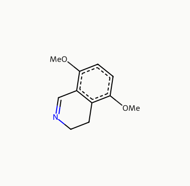 COc1ccc(OC)c2c1C=NCC2